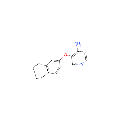 Nc1ccncc1Oc1ccc2c(c1)CCCC2